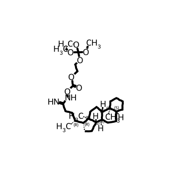 COC(OC)(OC)OCCOC(=O)ONC(=N)CC[C@@H](C)[C@H]1CC[C@H]2[C@@H]3CC[C@@H]4CCCC[C@]4(C)[C@H]3CC[C@]12C